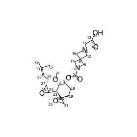 CO[C@@H]1[C@H](OC(=O)N2CC3(CN(CC(=O)O)C3)C2)CC[C@]2(CO2)[C@H]1[C@@]1(C)O[C@@H]1CC=C(C)C